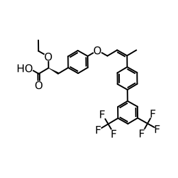 CCO[C@@H](Cc1ccc(OC/C=C(/C)c2ccc(-c3cc(C(F)(F)F)cc(C(F)(F)F)c3)cc2)cc1)C(=O)O